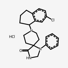 Cl.O=C1NCN(c2ccccc2)C12CCN(C1CCCc3ccc(Cl)cc31)CC2